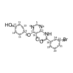 O=C(Nc1ncnc(Oc2ccc(O)cc2)c1Cl)c1cccc(Br)c1